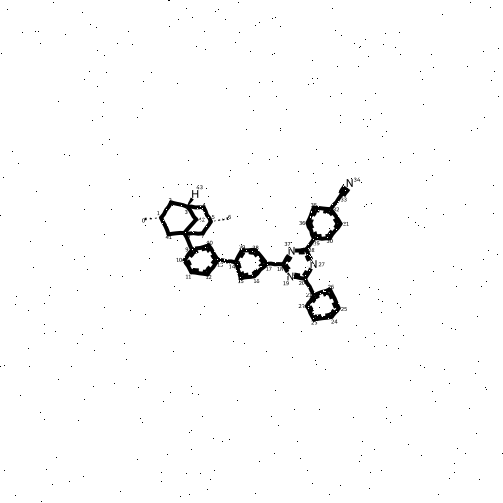 C[C@@H]1C[C@@H]2C[C@H](C)CC(c3cccc(-c4ccc(-c5nc(-c6ccccc6)nc(-c6ccc(C#N)cc6)n5)cc4)c3)(C1)C2